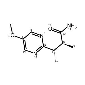 COc1cnc([C@@H](C)[C@H](C)C(N)=O)nc1